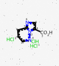 Cl.Cl.Cl.O=C(O)c1cnc2cccnn12